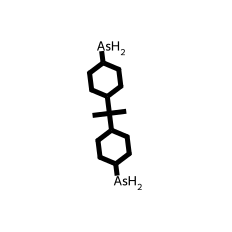 CC(C)(C1CCC([AsH2])CC1)C1CCC([AsH2])CC1